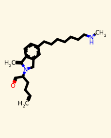 C=CCCC(C=O)N1Cc2cc(CCCCCCCNC)ccc2C1=C